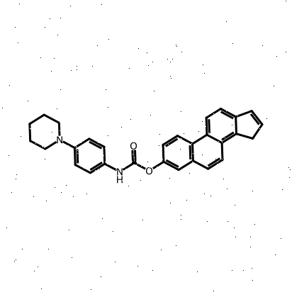 O=C(Nc1ccc(N2CCCCC2)cc1)Oc1ccc2c(ccc3c4c(ccc32)C=CC4)c1